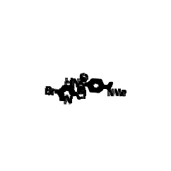 CNC(C)c1ccc(S(=O)(=O)Nc2cc(Br)cnc2Cl)cc1